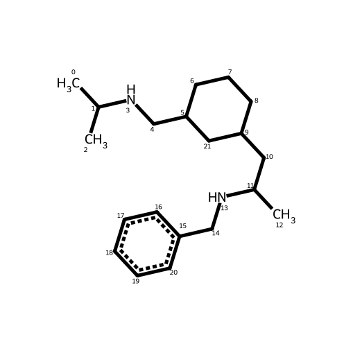 CC(C)NCC1CCCC(CC(C)NCc2ccccc2)C1